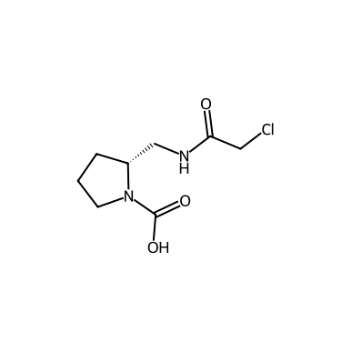 O=C(CCl)NC[C@H]1CCCN1C(=O)O